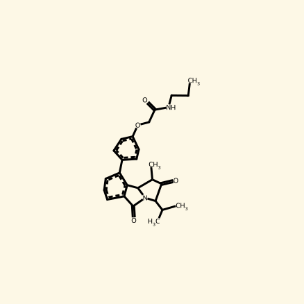 CCCNC(=O)COc1ccc(-c2cccc3c2C2C(C)C(=O)C(C(C)C)N2C3=O)cc1